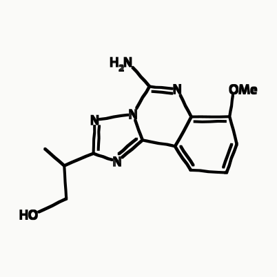 COc1cccc2c1nc(N)n1nc(C(C)CO)nc21